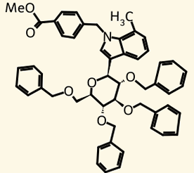 COC(=O)c1ccc(Cn2cc([C@@H]3O[C@H](COCc4ccccc4)[C@@H](OCc4ccccc4)[C@H](OCc4ccccc4)[C@H]3OCc3ccccc3)c3cccc(C)c32)cc1